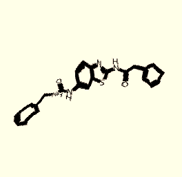 O=C(Cc1ccccc1)Nc1nc2ccc(NC(=O)NCc3ccccc3)cc2s1